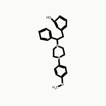 COc1ccc(N2CCN(C(Cc3cccc(O)c3)c3ccccc3)CC2)cc1